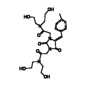 Cc1ccc(C=C2C(=O)N(CC(=O)N(CCO)CCO)C(=O)N2CC(=O)N(CCO)CCO)cc1